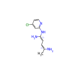 C/C(N)=C/C=C(\N)Nc1cc(Cl)ccn1